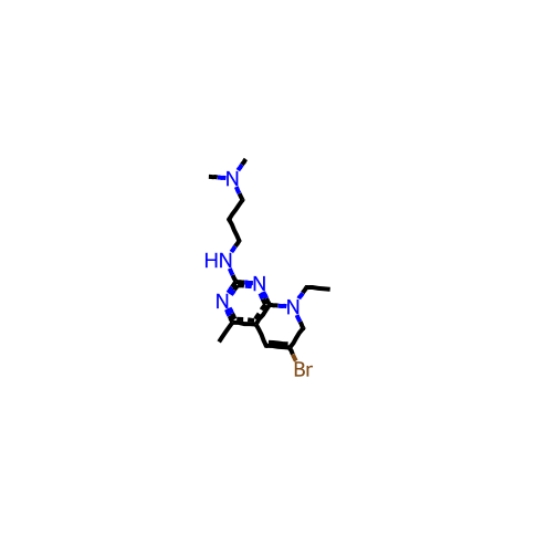 CCN1CC(Br)=Cc2c(C)nc(NCCCN(C)C)nc21